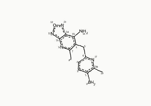 Bc1ccc(Cc2c(C)nc3nonc3c2N)nc1C